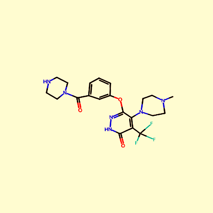 CN1CCN(c2c(Oc3cccc(C(=O)N4CCNCC4)c3)n[nH]c(=O)c2C(F)(F)F)CC1